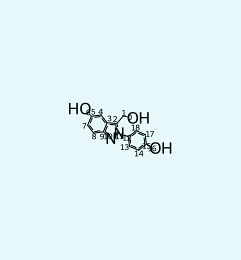 OCc1c2cc(O)ccc2nn1-c1ccc(O)cc1